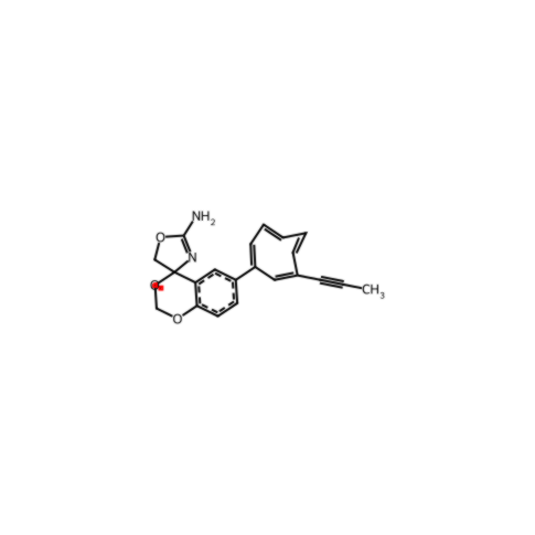 CC#CC1=C/C(c2ccc3c(c2)C2(COC(N)=N2)C2(COC2)CO3)=C\C=C\C=C\1